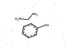 NCN.Oc1ccccc1